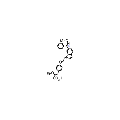 CCO[C@@H](Cc1ccc(OCCn2ccc3ccc(/C(=N/OC)c4ccccc4)nc32)cc1)C(=O)O